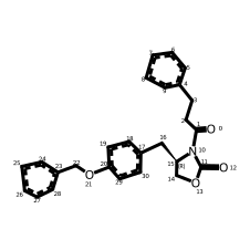 O=C(CCc1ccccc1)N1C(=O)OC[C@H]1Cc1ccc(OCc2ccccc2)cc1